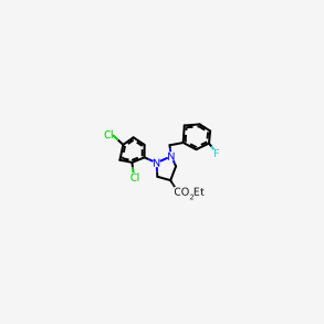 CCOC(=O)C1CN(Cc2cccc(F)c2)N(c2ccc(Cl)cc2Cl)C1